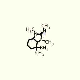 BC1(C)CCCC2C1N(C)/C(=N/C)N2C